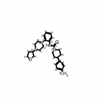 Cc1ccc(C2CCN(C(=O)Nc3ccccc3N3CCN(C4CCOC4)CC3)CC2)cc1